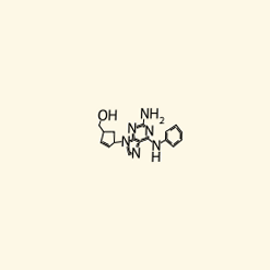 Nc1nc(Nc2ccccc2)c2ncn(C3C=CC(CO)C3)c2n1